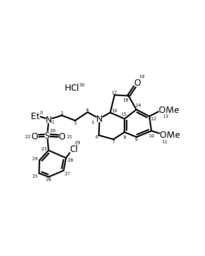 CCN(CCCN1CCc2cc(OC)c(OC)c3c2C1CC3=O)S(=O)(=O)c1ccccc1Cl.Cl